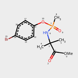 COC(=O)C(C)(C)NP(C)(=O)Oc1ccc(Br)cc1